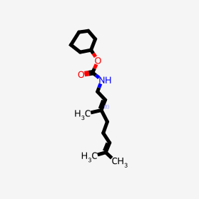 CC(C)=CCC/C(C)=C/CNC(=O)OC1CCCCC1